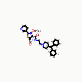 CC(C)(C)ON1C(c2cccnc2)SC(=C=O)[C@H]1C(=O)NCCN1CCC(=C(c2ccccc2)c2ccccc2)CC1